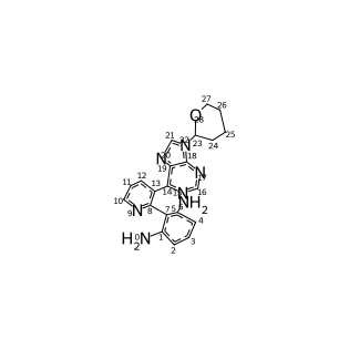 Nc1cccc(N)c1-c1ncccc1-c1ncnc2c1ncn2C1CCCCO1